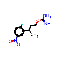 C[C@H](CCOC(=N)N)c1cc([N+](=O)[O-])ccc1F